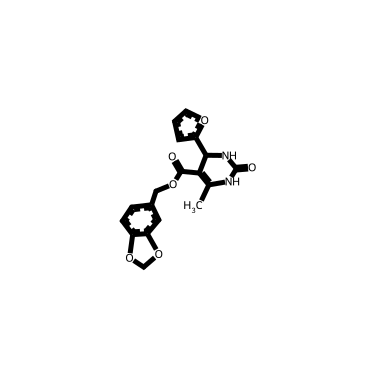 CC1=C(C(=O)OCc2ccc3c(c2)OCO3)C(c2ccco2)NC(=O)N1